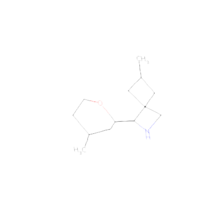 CC1CCOC(C2NCC23CC(C)C3)C1